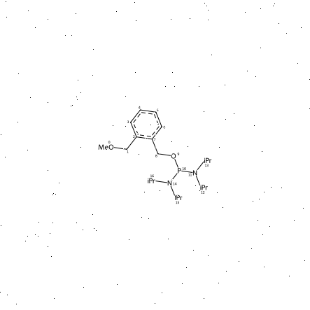 COCc1ccccc1COP(N(C(C)C)C(C)C)N(C(C)C)C(C)C